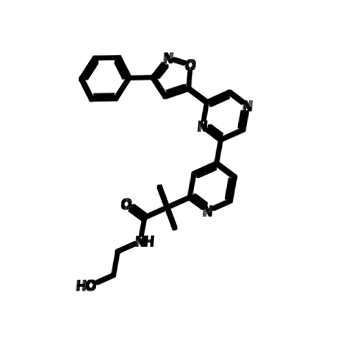 CC(C)(C(=O)NCCO)c1cc(-c2cncc(-c3cc(-c4ccccc4)no3)n2)ccn1